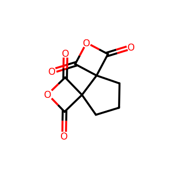 O=C1OC(=O)C12CCCC21C(=O)OC1=O